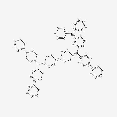 C1=CCCC(C2CC=C(N(C3=CC=C(c4ccccc4)CC3)C3C=CC(C4=CCC(N(c5ccc(-c6ccccc6)cc5)c5ccc6c7ccccc7n(C7=CCCC=C7)c6c5)C=C4)CC3)CC2)=C1